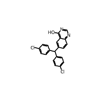 Oc1ncnc2ccc(C(c3ccc(Cl)cc3)c3ccc(Cl)cc3)cc12